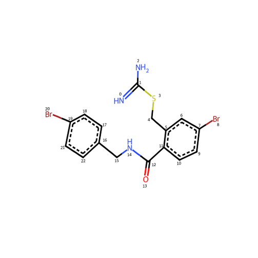 N=C(N)SCc1cc(Br)ccc1C(=O)NCc1ccc(Br)cc1